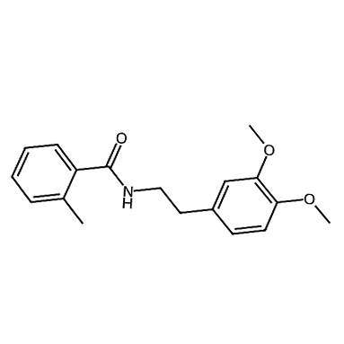 COc1ccc(CCNC(=O)c2ccccc2C)cc1OC